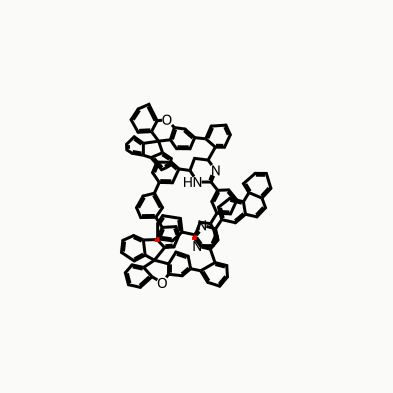 C1=CCC(c2cccc(C3=NC(c4ccccc4-c4ccc5c(c4)Oc4ccccc4C54c5ccccc5-c5ccccc54)CC(c4cccc(-c5cccc(-c6cccc7c6-c6ccccc6C76c7ccccc7Oc7cc(-c8ccccc8-c8cc(-c9ccc%10c(ccc%11ccccc%11%10)c9)nc(-c9ccccc9)n8)ccc76)c5)c4)N3)c2)C=C1